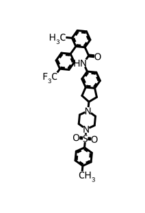 Cc1ccc(S(=O)(=O)N2CCN(C3Cc4ccc(NC(=O)c5cccc(C)c5-c5ccc(C(F)(F)F)cc5)cc4C3)CC2)cc1